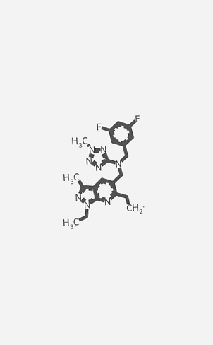 [CH2]Cc1nc2c(cc1CN(Cc1cc(F)cc(F)c1)c1nnn(C)n1)c(C)nn2CC